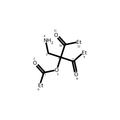 CCC(=O)OC(CN)(C(=O)CC)C(=O)CC